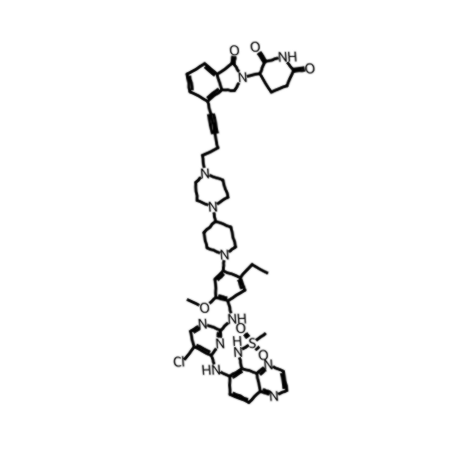 CCc1cc(Nc2ncc(Cl)c(Nc3ccc4nccnc4c3NS(C)(=O)=O)n2)c(OC)cc1N1CCC(N2CCN(CCC#Cc3cccc4c3CN(C3CCC(=O)NC3=O)C4=O)CC2)CC1